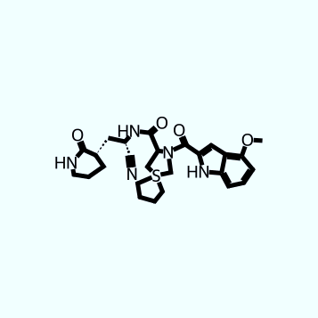 COc1cccc2[nH]c(C(=O)N3CS4(CCCC4)CC3C(=O)N[C@H](C#N)C[C@@H]3CCCNC3=O)cc12